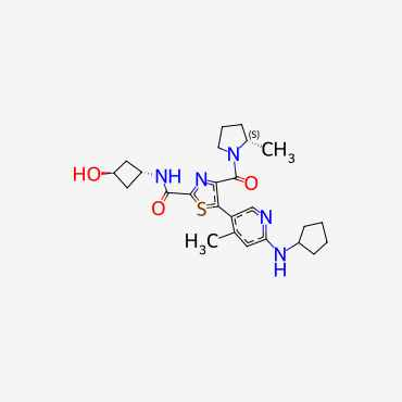 Cc1cc(NC2CCCC2)ncc1-c1sc(C(=O)N[C@H]2C[C@H](O)C2)nc1C(=O)N1CCC[C@@H]1C